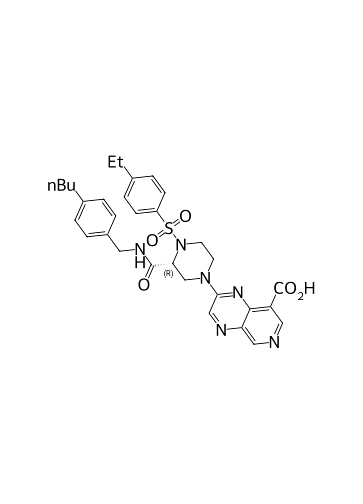 CCCCc1ccc(CNC(=O)[C@H]2CN(c3cnc4cncc(C(=O)O)c4n3)CCN2S(=O)(=O)c2ccc(CC)cc2)cc1